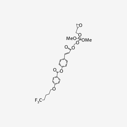 CO[Si](OC)(OCOC(=O)/C=C/c1ccc(OC(=O)c2ccc(OCCCCC(F)(F)F)cc2)cc1)OCC1CO1